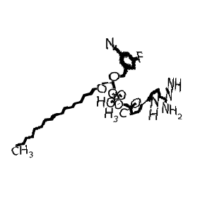 CCCCCCCC/C=C/CCCCCCCCOC[C@H](COP(=O)(O)OC[C@]1(C)CC[C@H](c2ccc(/C(N)=N\C=N)[nH]2)O1)OCc1cc(F)cc(C#N)c1